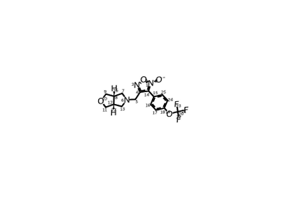 [O-][n+]1onc(CN2C[C@H]3COC[C@H]3C2)c1-c1ccc(OC(F)(F)F)cc1